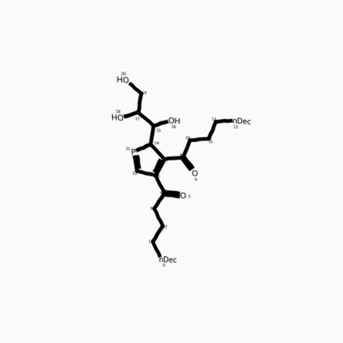 CCCCCCCCCCCCCC(=O)C1=C(C(=O)CCCCCCCCCCCCC)C(C(O)C(O)CO)P=C1